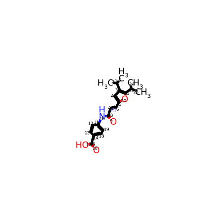 CC(C)c1cc(/C=C/C(=O)Nc2ccc(C(=O)O)cc2)oc1C(C)C